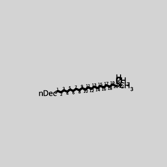 CCCCCCCCCCCCCCCCCCCCCCCCCCCCCC[SiH](C)C